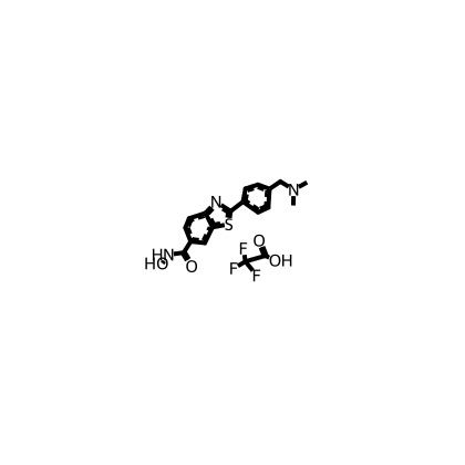 CN(C)Cc1ccc(-c2nc3ccc(C(=O)NO)cc3s2)cc1.O=C(O)C(F)(F)F